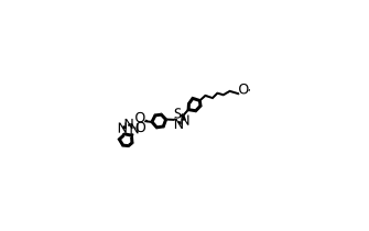 COCCCCCCc1ccc(-c2nnc(-c3ccc(C(=O)On4nnc5ccccc54)cc3)s2)cc1